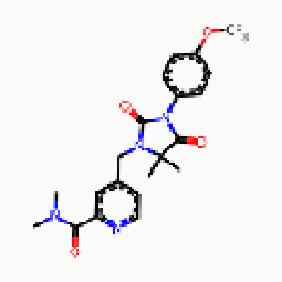 CN(C)C(=O)c1cc(CN2C(=O)N(c3ccc(OC(F)(F)F)cc3)C(=O)C2(C)C)ccn1